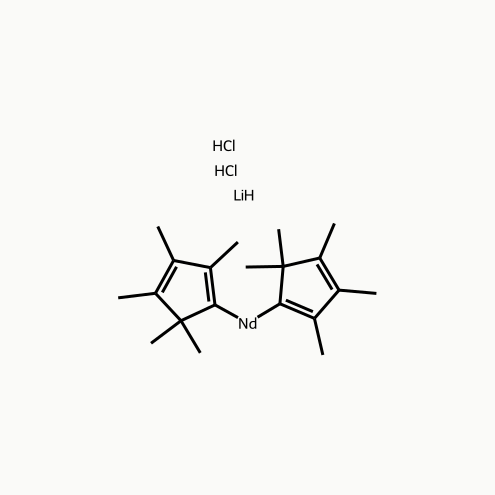 CC1=C(C)C(C)(C)[C]([Nd][C]2=C(C)C(C)=C(C)C2(C)C)=C1C.Cl.Cl.[LiH]